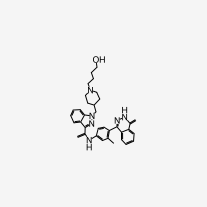 C=C1NN=C(c2ccc(NC(=C)c3nn(CC4CCN(CCCCO)CC4)c4ccccc34)cc2C)c2ccccc21